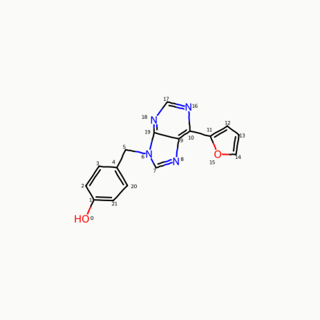 Oc1ccc(Cn2cnc3c(-c4ccco4)ncnc32)cc1